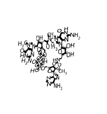 CO[C@@H]1[C@H](OC(=O)NC[C@H]2O[C@@H](n3cnc4c(=O)[nH]c(N)nc43)[C@H](O)[C@@H]2O)[C@@H](COP(=O)(O)OP(=O)(O)OP(=O)([O-])OC[C@H]2OC(n3c[n+](C)c4c(=O)[nH]c(N)nc43)[C@H](O)[C@@H]2CC(=O)N(C)C)O[C@H]1n1cnc2c(N)ncnc21